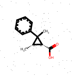 C[C@H]1[C@@H](C(=O)O)C1(C)c1ccccc1